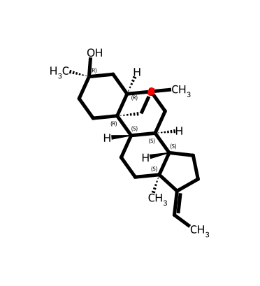 CC=C1CC[C@H]2[C@@H]3CC[C@@H]4C[C@](C)(O)CC[C@]4(CSC)[C@H]3CC[C@]12C